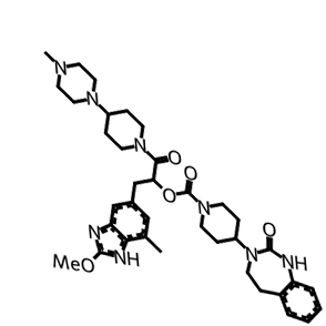 COc1nc2cc(CC(OC(=O)N3CCC(N4CCc5ccccc5NC4=O)CC3)C(=O)N3CCC(N4CCN(C)CC4)CC3)cc(C)c2[nH]1